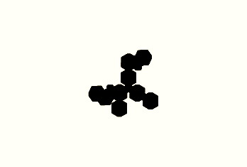 c1ccc(-c2ccc(N(c3ccc(-c4cccc5c4oc4ccccc45)cc3)c3cc(-c4ccccc4)c4c(c3)oc3c5ccccc5ccc34)cc2)cc1